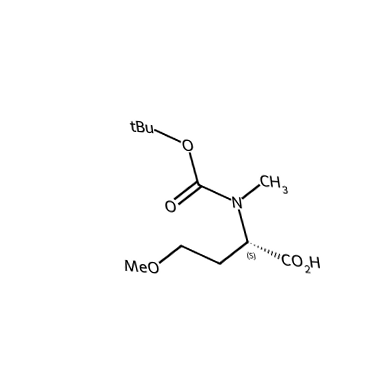 COCC[C@@H](C(=O)O)N(C)C(=O)OC(C)(C)C